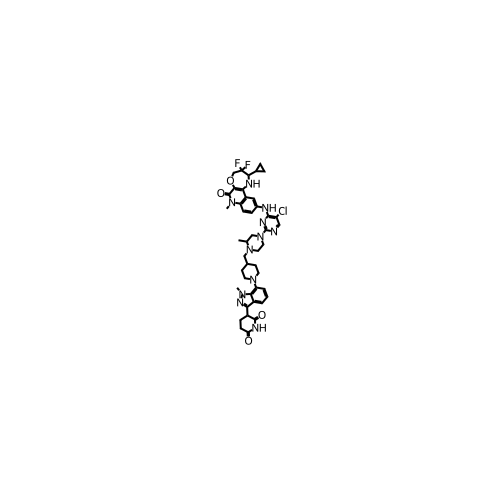 CC1CN(c2ncc(Cl)c(Nc3ccc4c(c3)c3c(c(=O)n4C)OCC(F)(F)C(C4CC4)N3)n2)CCN1CC1CCN(c2cccc3c(C4CCC(=O)NC4=O)nn(C)c23)CC1